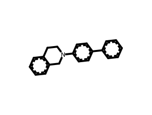 c1ccc(-c2ccc(N3CCc4ccccc4C3)cc2)cc1